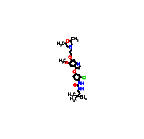 COc1cc2c(Oc3ccc(NC(=O)NCCC(C)(C)C)c(Cl)c3)ccnc2cc1OCCCN1CC(C)OC(C)C1